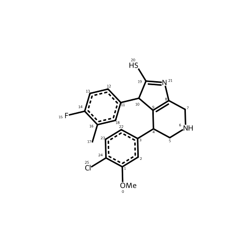 COc1cc(C2CNCC3=C2C(c2ccc(F)c(C)c2)C(S)=N3)ccc1Cl